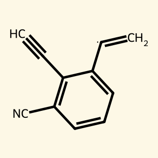 C#Cc1c([C]=C)cccc1C#N